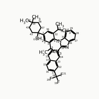 BC1(c2cc(C(C)C)c(-n3c(-c4ccc5ccc(C(F)(F)F)cc5c4)nc4ccccc43)c(C(C)C)c2)CCC(C)(C)CC1